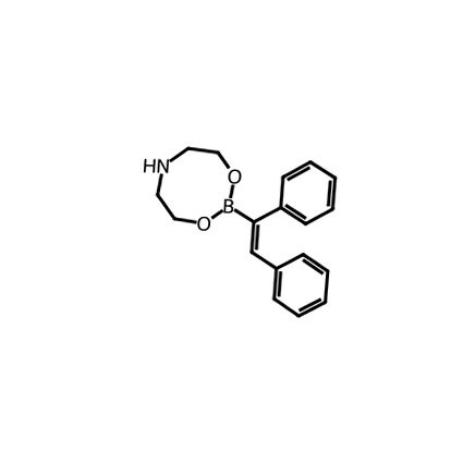 C(=C(\B1OCCNCCO1)c1ccccc1)/c1ccccc1